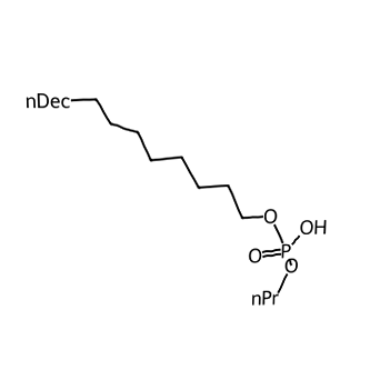 CCCCCCCCCCCCCCCCCCOP(=O)(O)OCCC